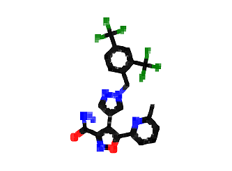 Cc1cccc(-c2onc(C(N)=O)c2-c2cnn(Cc3ccc(C(F)(F)F)cc3C(F)(F)F)c2)n1